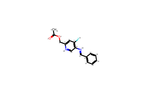 CC(=O)OCc1cc(F)c(N=Cc2ccccc2)cn1